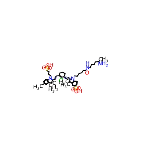 Cc1ccc2c(c1)C(C)(C)C(/C=C/C1=C(Cl)C(=C/C=C3/N(CCCCCC(=O)NCCCCC(C)N)c4ccc(S(=O)(=O)O)cc4C3(C)C)/CCC1)N2CCCCS(=O)(=O)O